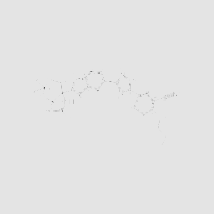 CCCOc1ccc(-c2nc(-c3ccc4oc(C5(NC(=O)O)COC(C)(C)OC5)cc4c3)no2)cc1C#N